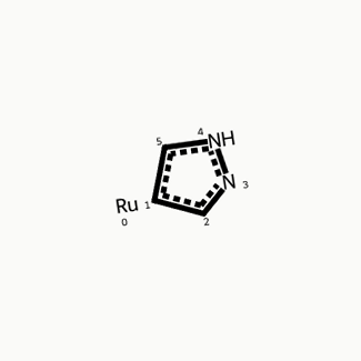 [Ru].c1cn[nH]c1